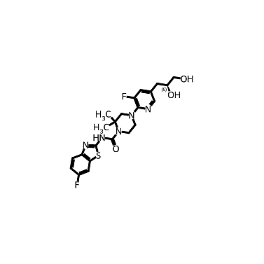 CC1(C)CN(c2ncc(C[C@H](O)CO)cc2F)CCN1C(=O)Nc1nc2ccc(F)cc2s1